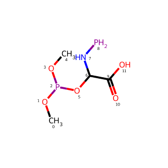 COP(OC)OC(NP)C(=O)O